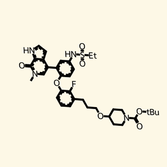 CCS(=O)(=O)Nc1ccc(Oc2cccc(CCCOC3CCN(C(=O)OC(C)(C)C)CC3)c2F)c(-c2cn(C)c(=O)c3[nH]ccc23)c1